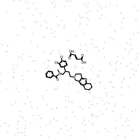 CN(CC(CCN1CCc2nc3c(cc2C1)CCCC3)c1ccc(Cl)c(Cl)c1)C(=O)c1ccccc1.O=C(O)/C=C/C(=O)O